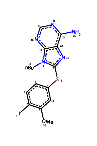 CCCCn1c(Sc2ccc(I)c(OC)c2)nc2c(N)ncnc21